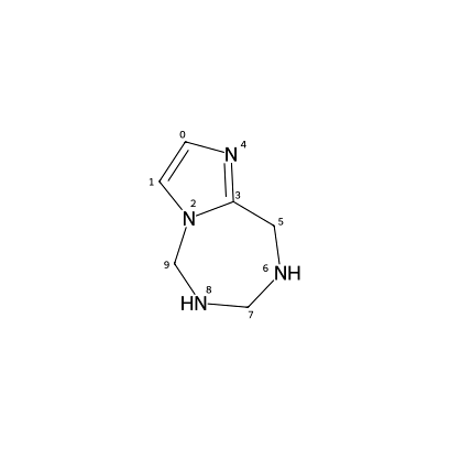 c1cn2c(n1)CNCNC2